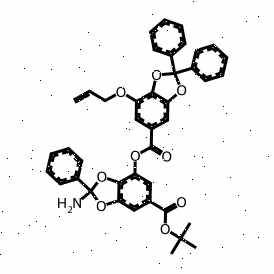 C=CCOc1cc(C(=O)Oc2cc(C(=O)OC(C)(C)C)cc3c2OC(N)(c2ccccc2)O3)cc2c1OC(c1ccccc1)(c1ccccc1)O2